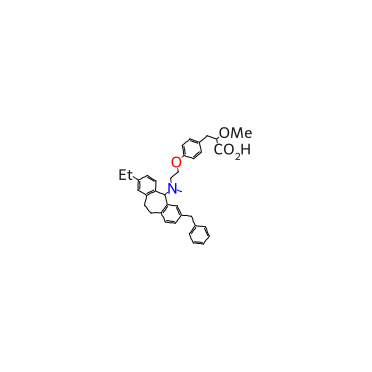 CCc1ccc2c(c1)CCc1ccc(Cc3ccccc3)cc1C2N(C)CCOc1ccc(CC(OC)C(=O)O)cc1